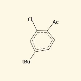 CC(=O)c1ccc(C(C)(C)C)cc1Cl